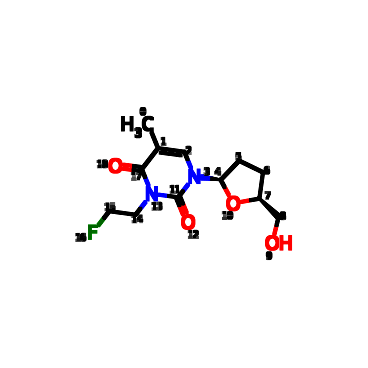 Cc1cn([C@H]2CC[C@@H](CO)O2)c(=O)n(CCF)c1=O